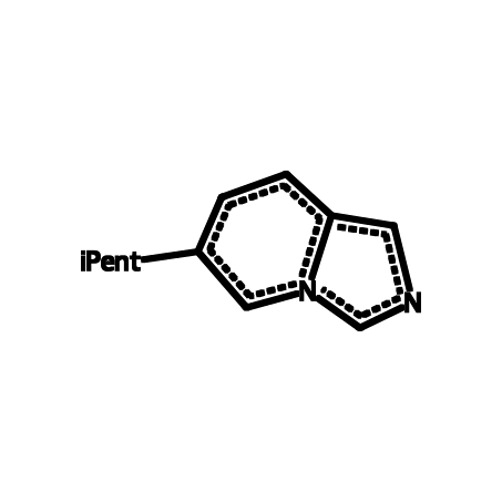 CCCC(C)c1ccc2cncn2c1